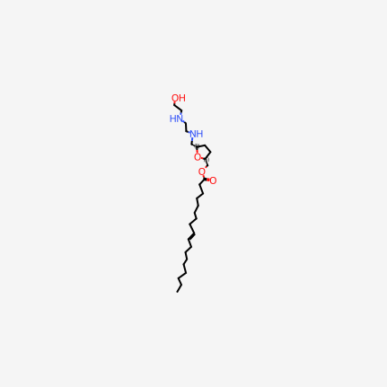 CCCCCCCCC=CCCCCCCCC(=O)OC[C@@H]1CC[C@H](CNCCNCCO)O1